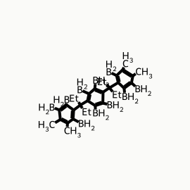 Bc1c(B)c(C(CC)(CC)c2c(B)c(B)c(C(CC)(CC)c3c(B)c(B)c(C)c(C)c3B)c(B)c2B)c(B)c(C)c1C